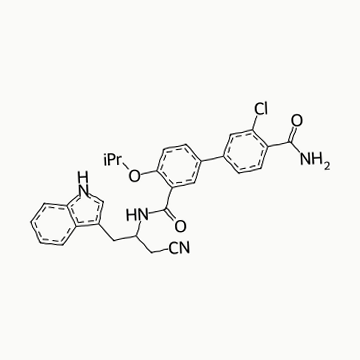 CC(C)Oc1ccc(-c2ccc(C(N)=O)c(Cl)c2)cc1C(=O)NC(CC#N)Cc1c[nH]c2ccccc12